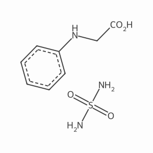 NS(N)(=O)=O.O=C(O)CNc1ccccc1